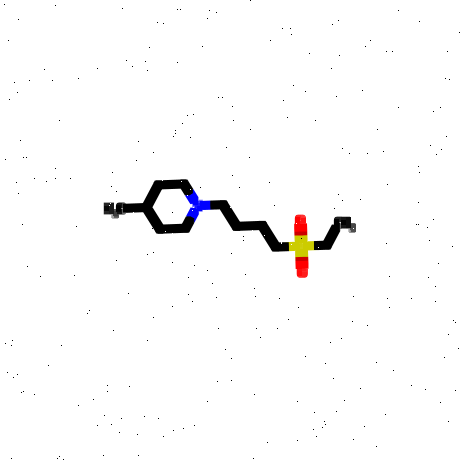 CCS(=O)(=O)CCCCN1CCC(C)CC1